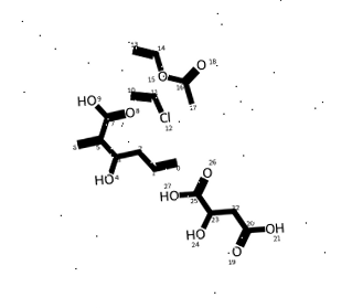 C=CCC(O)C(=C)C(=O)O.C=CCl.C=COC(C)=O.O=C(O)CC(O)C(=O)O